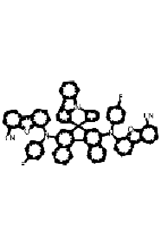 N#Cc1cccc2c1oc1c(N(c3ccc(F)cc3)c3cc4c(c5ccccc35)-c3c(cc(N(c5ccc(F)cc5)c5cccc6c5oc5c(C#N)cccc56)c5ccccc35)C43c4ccccc4-n4c5ccccc5c5cccc3c54)cccc12